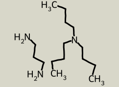 CCCCN(CCCC)CCCC.NCCCN